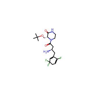 CC(C)(C)OC[C@@H]1C(=O)NCCN1C(=O)C[C@H](N)CC1=CC(F)(F)CC=C1F